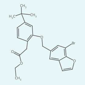 CCOC(=O)Cc1ccc(C(C)(C)C)cc1OCc1cc(Br)c2occc2c1